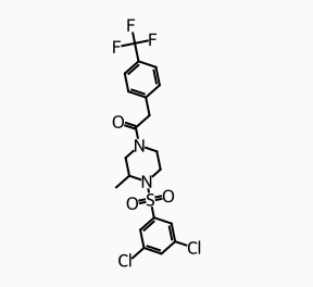 CC1CN(C(=O)Cc2ccc(C(F)(F)F)cc2)CCN1S(=O)(=O)c1cc(Cl)cc(Cl)c1